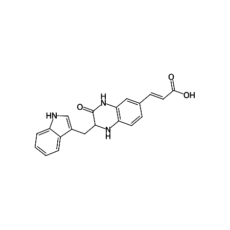 O=C(O)C=Cc1ccc2c(c1)NC(=O)C(Cc1c[nH]c3ccccc13)N2